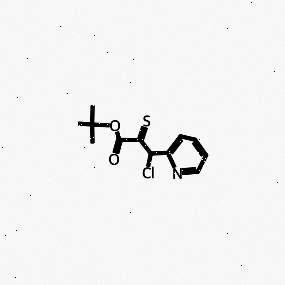 CC(C)(C)OC(=O)C(=S)C(Cl)c1ccccn1